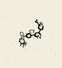 CC1CCN(C(=O)c2ccc(-c3cncc(-c4ccnc(C5CC5)c4)c3)c(Cl)c2)CC1(F)F